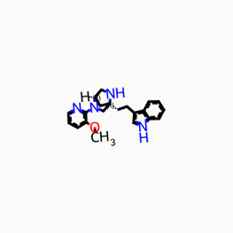 COc1cccnc1N1C[C@@]2(CCc3c[nH]c4ccccc34)C[C@@H]1CN2